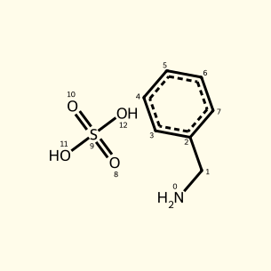 NCc1ccccc1.O=S(=O)(O)O